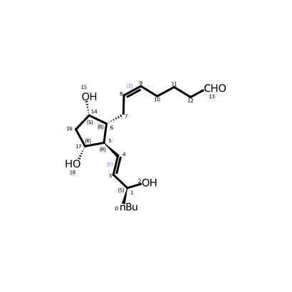 CCCC[C@H](O)/C=C/[C@@H]1[C@@H](C/C=C\CCCC=O)[C@@H](O)C[C@H]1O